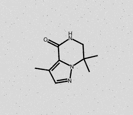 Cc1cnn2c1C(=O)NCC2(C)C